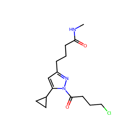 CNC(=O)CCCc1cc(C2CC2)n(C(=O)CCCCl)n1